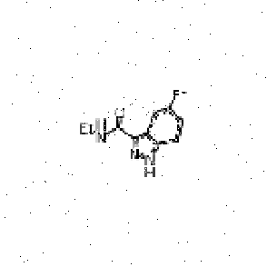 CCNC(=O)c1n[nH]c2ccc(CC)cc12